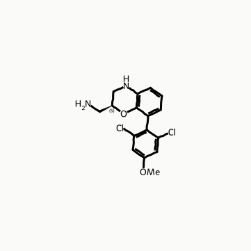 COc1cc(Cl)c(-c2cccc3c2O[C@@H](CN)CN3)c(Cl)c1